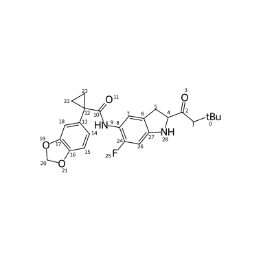 CC(C)(C)CC(=O)C1Cc2cc(NC(=O)C3(c4ccc5c(c4)OCO5)CC3)c(F)cc2N1